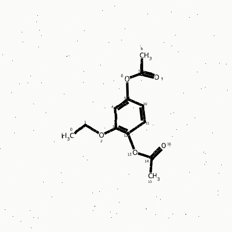 CCOc1cc(OC(C)=O)ccc1OC(C)=O